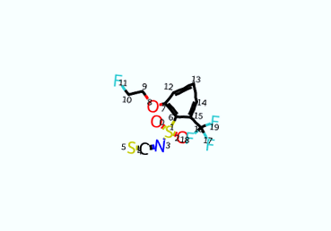 O=S(=O)(N=C=S)c1c(OCCF)cccc1C(F)(F)F